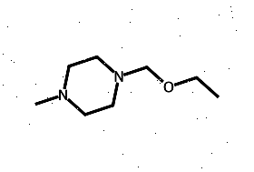 CCOCN1CCN(C)CC1